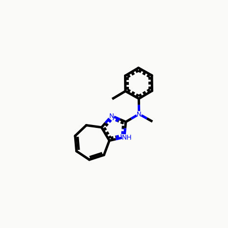 Cc1ccccc1N(C)c1nc2c([nH]1)C=CC=CC2